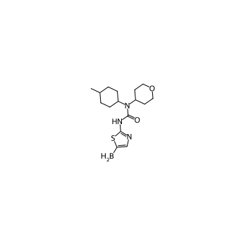 Bc1cnc(NC(=O)N(C2CCOCC2)C2CCC(C)CC2)s1